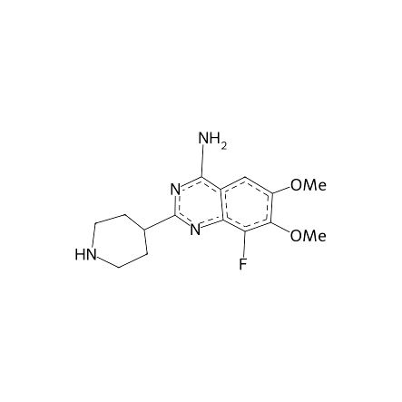 COc1cc2c(N)nc(C3CCNCC3)nc2c(F)c1OC